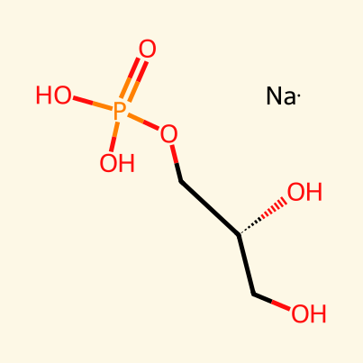 O=P(O)(O)OC[C@H](O)CO.[Na]